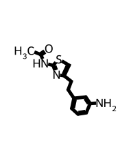 CC(=O)Nc1nc(CCc2cccc(N)c2)cs1